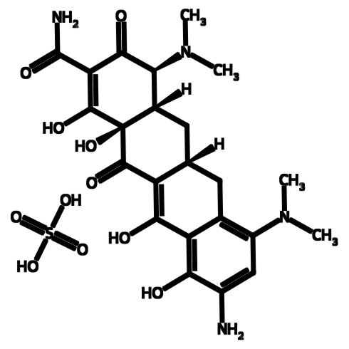 CN(C)c1cc(N)c(O)c2c1C[C@H]1C[C@H]3[C@H](N(C)C)C(=O)C(C(N)=O)=C(O)[C@@]3(O)C(=O)C1=C2O.O=S(=O)(O)O